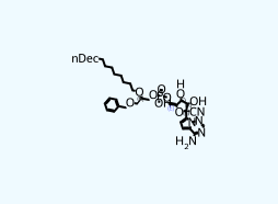 CCCCCCCCCCCCCCCCCCO[C@H](COCc1ccccc1)COP(=O)(O)O/C=C1/O[C@@](C#N)(c2ccc3c(N)ncnn23)[C@H](O)[C@@H]1O